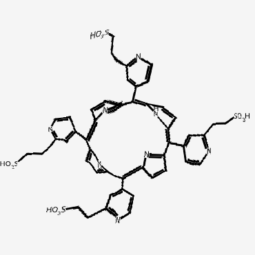 O=S(=O)(O)CCc1cc(-c2c3nc(c(-c4ccnc(CCS(=O)(=O)O)c4)c4ccc([nH]4)c(-c4ccnc(CCS(=O)(=O)O)c4)c4nc(c(-c5ccnc(CCS(=O)(=O)O)c5)c5ccc2[nH]5)C=C4)C=C3)ccn1